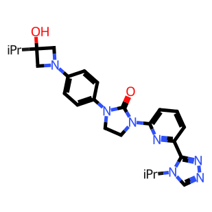 CC(C)n1cnnc1-c1cccc(N2CCN(c3ccc(N4CC(O)(C(C)C)C4)cc3)C2=O)n1